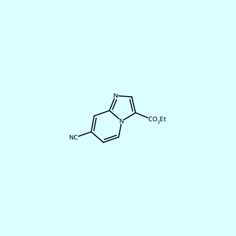 CCOC(=O)c1cnc2cc(C#N)ccn12